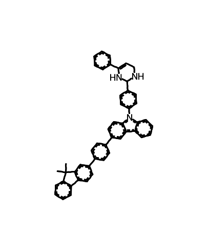 CC1(C)c2ccccc2-c2ccc(-c3ccc(-c4ccc5c(c4)c4ccccc4n5-c4ccc(C5NCC=C(c6ccccc6)N5)cc4)cc3)cc21